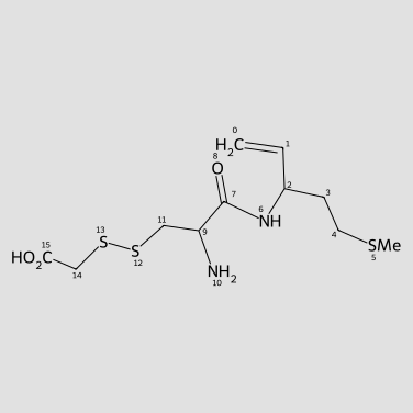 C=CC(CCSC)NC(=O)C(N)CSSCC(=O)O